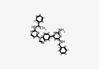 CC(Nc1nccc(-n2cnc3cc(-c4cc(NCc5ccccc5)nc(N)n4)ccc32)n1)c1ccccc1